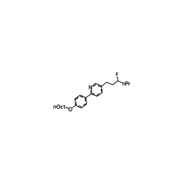 CCCCCCCCOc1ccc(-c2ccc(CCC(F)CCC)cn2)cc1